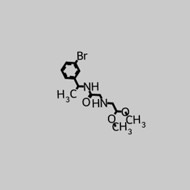 COC(CNCC(=O)NC(C)c1cccc(Br)c1)OC